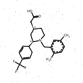 Cc1ccc(C)c(CN2CC[C@H](CC(=O)O)C[C@@H]2C2C=CC(C(F)(F)F)=CC2)c1